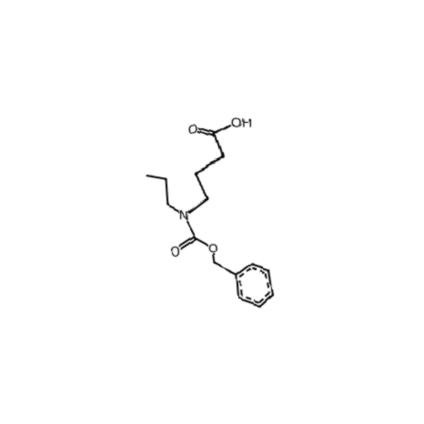 CCCN(CCCC(=O)O)C(=O)OCc1ccccc1